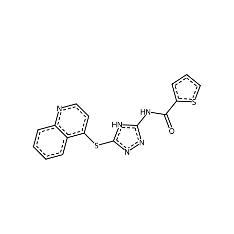 O=C(Nc1nnc(Sc2ccnc3ccccc23)[nH]1)c1cccs1